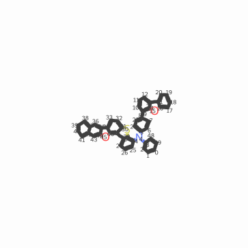 c1ccc(N(c2ccc(-c3cccc4c3oc3ccccc34)cc2)c2cccc3c2sc2ccc4c5cc6ccccc6cc5oc4c23)cc1